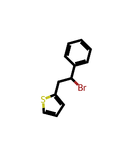 BrC(Cc1cccs1)c1ccccc1